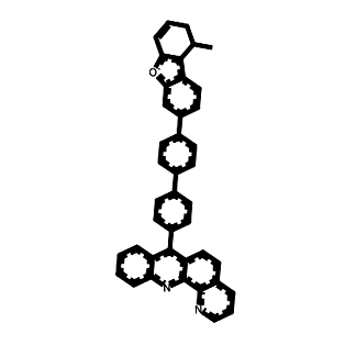 CC1CC=Cc2oc3cc(-c4ccc(-c5ccc(-c6c7ccccc7nc7c6ccc6cccnc67)cc5)cc4)ccc3c21